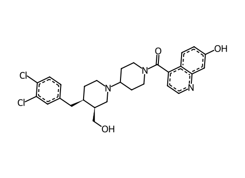 O=C(c1ccnc2cc(O)ccc12)N1CCC(N2CC[C@H](Cc3ccc(Cl)c(Cl)c3)[C@H](CO)C2)CC1